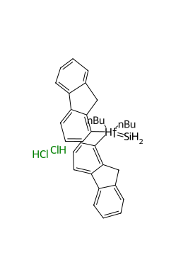 CCC[CH2][Hf](=[SiH2])([CH2]CCC)([c]1cccc2c1Cc1ccccc1-2)[c]1cccc2c1Cc1ccccc1-2.Cl.Cl